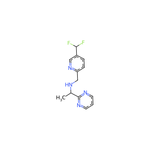 CC(NCc1ccc(C(F)F)cn1)c1ncccn1